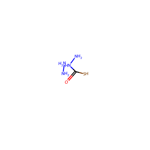 NN.NNC(=O)S